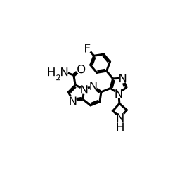 NC(=O)c1cnc2ccc(-c3c(-c4ccc(F)cc4)ncn3C3CNC3)nn12